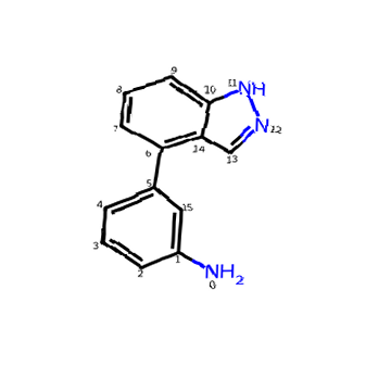 Nc1cccc(-c2cccc3[nH]ncc23)c1